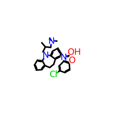 CC(CN(C)C)CN1c2ccccc2CCc2ccccc21.Oc1nc2cc(Cl)ccc2o1